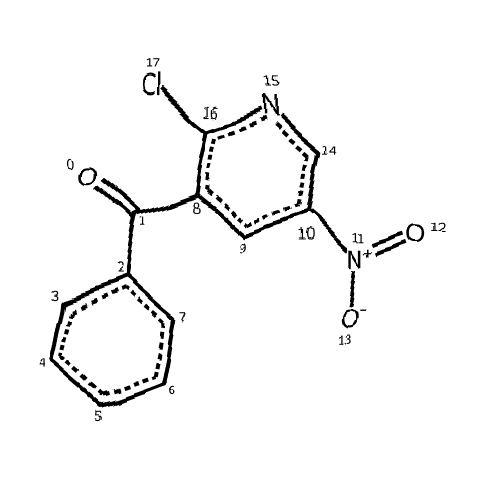 O=C(c1ccccc1)c1cc([N+](=O)[O-])cnc1Cl